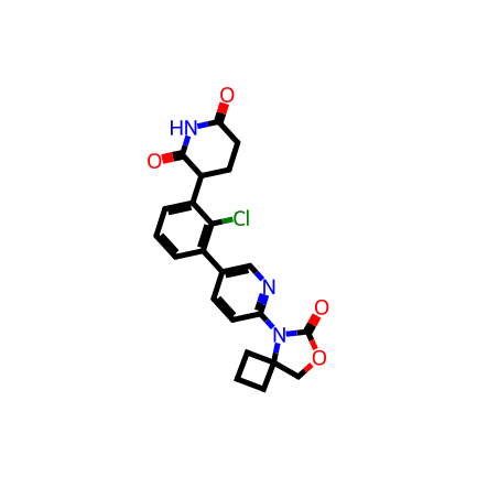 O=C1CCC(c2cccc(-c3ccc(N4C(=O)OCC45CCC5)nc3)c2Cl)C(=O)N1